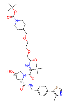 Cc1ncsc1-c1ccc(CNC(=O)[C@@H]2C[C@@H](O)CN2C(=O)[C@@H](NC(=O)COCCOCC2CCN(C(=O)OC(C)(C)C)CC2)C(C)(C)C)cc1